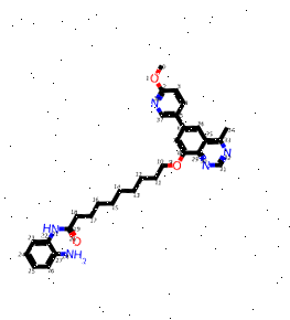 COc1ccc(-c2cc(OCCCCCCCCCC(=O)Nc3ccccc3N)c3ncnc(C)c3c2)cn1